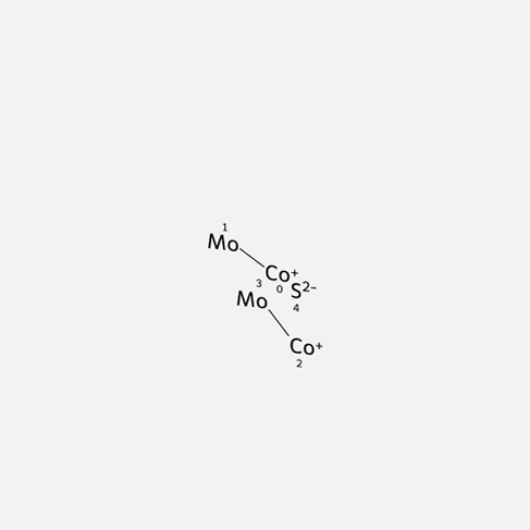 [Co+][Mo].[Co+][Mo].[S-2]